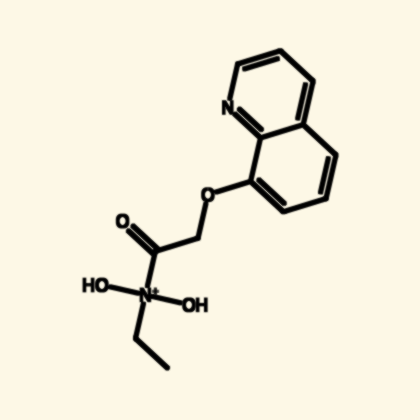 CC[N+](O)(O)C(=O)COc1cccc2cccnc12